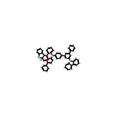 C1=C[C@@H]2Oc3ccccc3C2C(c2ccccc2N(c2ccc(-c3ccccc3)cc2)c2ccc(-c3cc(-c4ccccc4)cc(-n4c5ccccc5c5ccccc54)c3)cc2)=C1